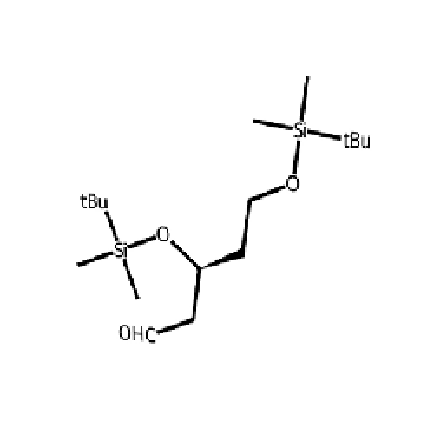 CC(C)(C)[Si](C)(C)OCC[C@@H](CC=O)O[Si](C)(C)C(C)(C)C